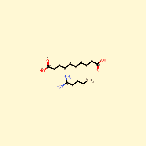 CCCCC(N)N.O=C(O)CCCCCCCCC(=O)O